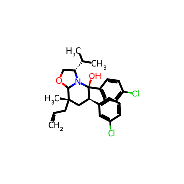 C=CC[C@@]1(C)C[C@H](c2cccc(Cl)c2)[C@@](O)(c2ccc(Cl)cc2)N2C1OC[C@@H]2C(C)C